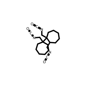 O=C=NCC1CCCCCC1(CN=C=O)C1(CN=C=O)CCCCCC1